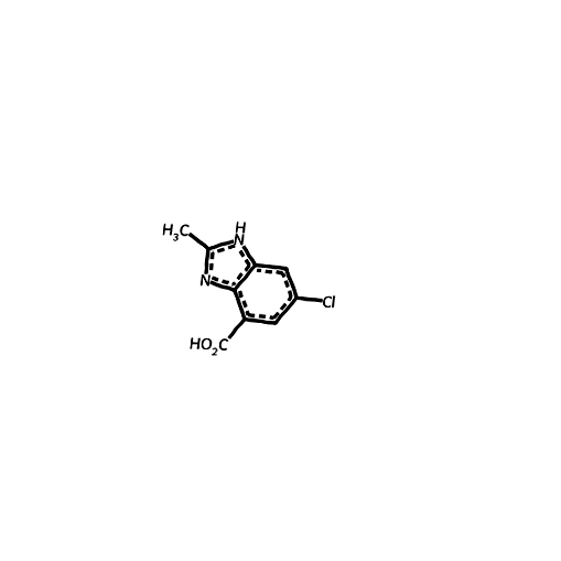 Cc1nc2c(C(=O)O)cc(Cl)cc2[nH]1